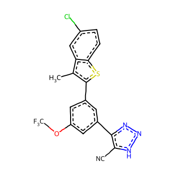 Cc1c(-c2cc(OC(F)(F)F)cc(-c3nn[nH]c3C#N)c2)sc2ccc(Cl)cc12